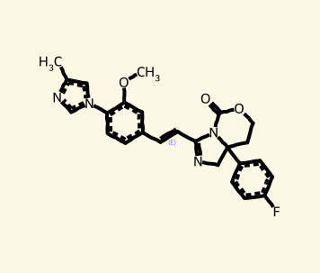 COc1cc(/C=C/C2=NCC3(c4ccc(F)cc4)CCOC(=O)N23)ccc1-n1cnc(C)c1